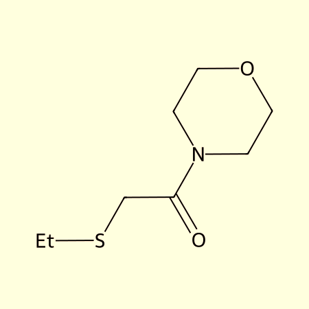 CCSCC(=O)N1CCOCC1